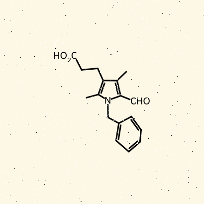 Cc1c(CCC(=O)O)c(C)n(Cc2ccccc2)c1C=O